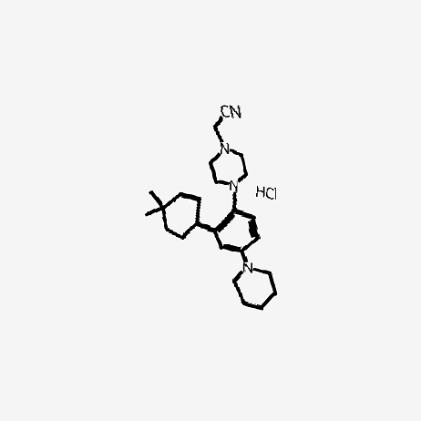 CC1(C)CCC(c2cc(N3CCCCC3)ccc2N2CCN(CC#N)CC2)CC1.Cl